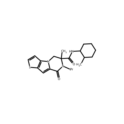 CC1CCCCC1NC(=O)C1(C)Cn2c(cc3sccc32)C(=O)N1C(C)C